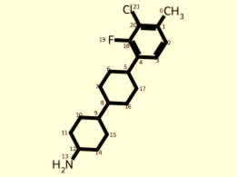 Cc1ccc(C2CCC(C3CCC(N)CC3)CC2)c(F)c1Cl